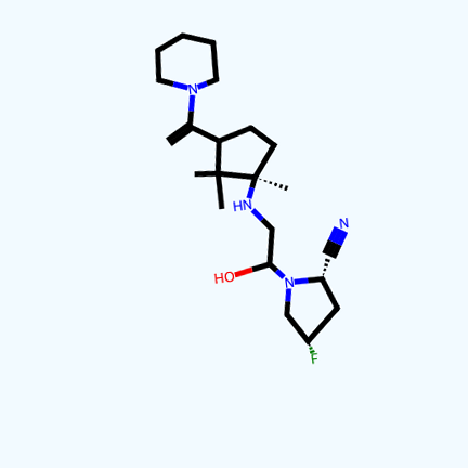 C=C(C1CC[C@@](C)(NCC(O)N2C[C@@H](F)C[C@H]2C#N)C1(C)C)N1CCCCC1